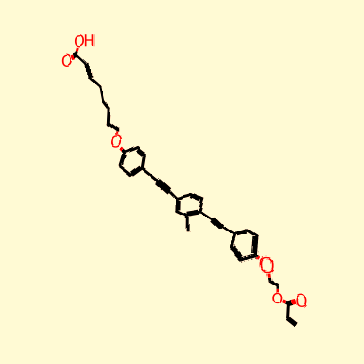 C=CC(=O)OCCOc1ccc(C#Cc2ccc(C#Cc3ccc(OCCCCCC=CC(=O)O)cc3)cc2C)cc1